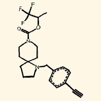 C#Cc1ccc(CN2CCCC23CCN(C(=O)OC(C)C(F)(F)F)CC3)cc1